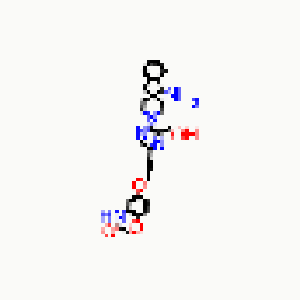 NC1c2ccccc2CC12CCN(c1ncc(C#CCOc3ccc4c(c3)NC(=O)CO4)nc1CO)CC2